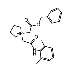 Cc1cccc(C)c1NC(=O)C[PH]1(CC(=O)OCc2ccccc2)CCCC1